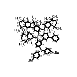 Cc1ccccc1-c1cc2c3c(c1)N(c1cc4c(cc1C)C(C)(C)CCC4(C)C)c1cc4c(cc1B3N(c1ccc3c(c1)C(C)(C)CCC3(C)C)c1ccc(N(c3ccc(C(C)(C)C)cc3)c3ccc(C(C)(C)C)cc3)cc1-2)-c1cc2c(cc1C4(C)C)C(C)(C)CCC2(C)C